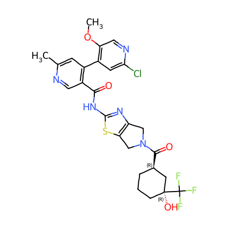 COc1cnc(Cl)cc1-c1cc(C)ncc1C(=O)Nc1nc2c(s1)CN(C(=O)[C@@H]1CCC[C@](O)(C(F)(F)F)C1)C2